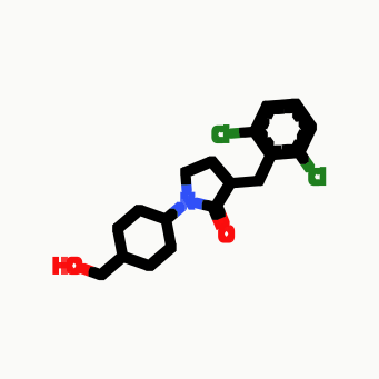 O=C1C(Cc2c(Cl)cccc2Cl)CCN1C1CCC(CO)CC1